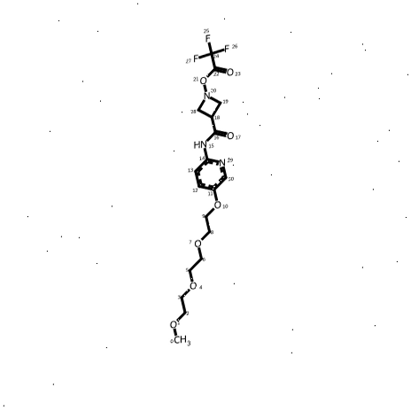 COCCOCCOCCOc1ccc(NC(=O)C2CN(OC(=O)C(F)(F)F)C2)nc1